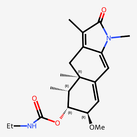 CCNC(=O)O[C@H]1[C@H](OC)C=C2C=C3C(=C(C)C(=O)N3C)C[C@]2(C)[C@H]1C